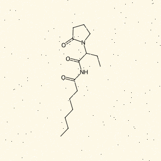 CCCCCCC(=O)NC(=O)C(CC)N1CCCC1=O